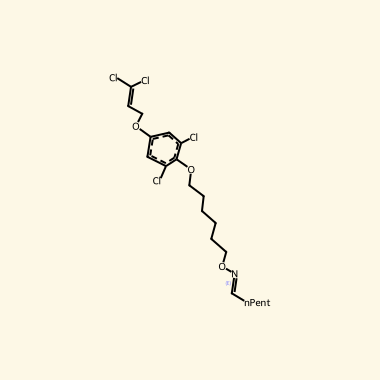 CCCCC/C=N/OCCCCCCOc1c(Cl)cc(OCC=C(Cl)Cl)cc1Cl